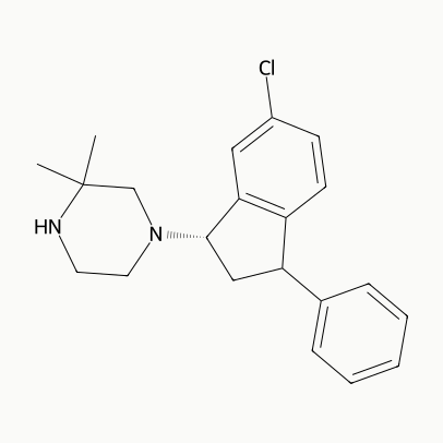 CC1(C)CN([C@H]2CC(c3ccccc3)c3ccc(Cl)cc32)CCN1